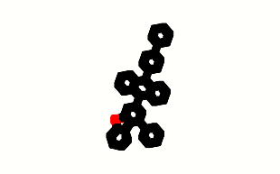 c1ccc(-c2ccc(-c3c4ccccc4c(-c4cc(-c5ccccc5)c5c(c4)oc4ccccc45)c4ccccc34)cc2)cc1